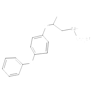 CCOC(=O)NCC(C)Oc1ccc(Oc2ccccc2)cc1